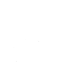 CC(NP(=O)(Oc1ccc([N+](=O)[O-])cc1)Oc1ccccc1Br)C(=O)O